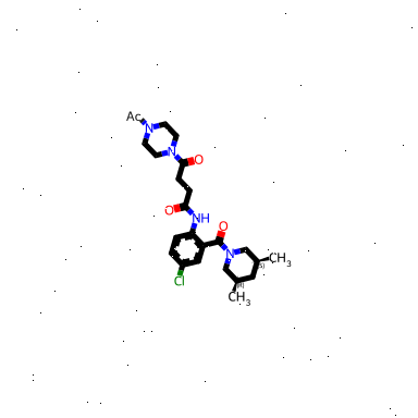 CC(=O)N1CCN(C(=O)CCC(=O)Nc2ccc(Cl)cc2C(=O)N2C[C@H](C)C[C@H](C)C2)CC1